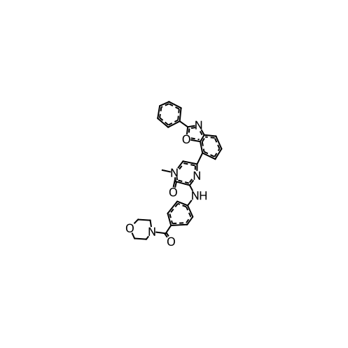 Cn1cc(-c2cccc3nc(-c4ccccc4)oc23)nc(Nc2ccc(C(=O)N3CCOCC3)cc2)c1=O